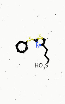 O=S(=O)(O)CCCc1csc(Sc2ccccc2)n1